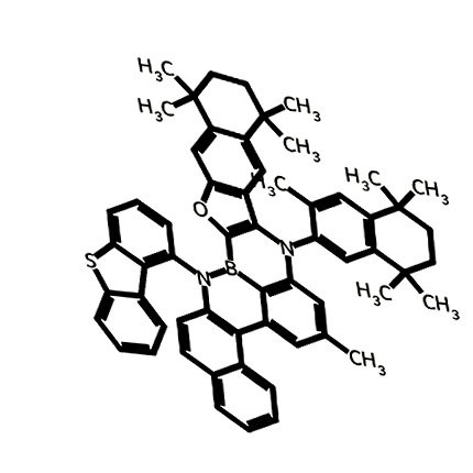 Cc1cc2c3c(c1)N(c1cc4c(cc1C)C(C)(C)CCC4(C)C)c1c(oc4cc5c(cc14)C(C)(C)CCC5(C)C)B3N(c1cccc3sc4ccccc4c13)c1ccc3ccccc3c1-2